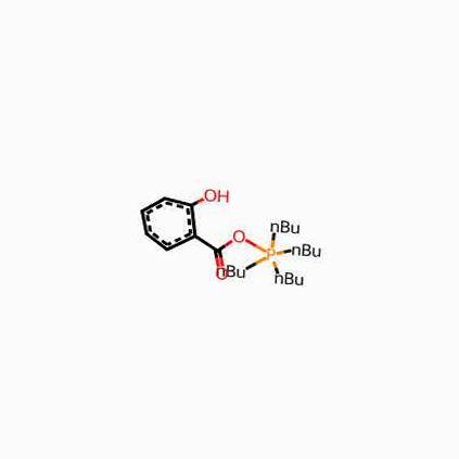 CCCCP(CCCC)(CCCC)(CCCC)OC(=O)c1ccccc1O